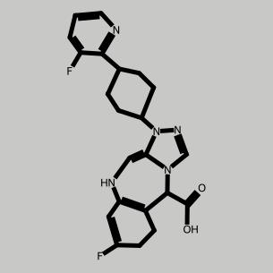 O=C(O)C1C2=C(C=C(F)CC2)NC=C2N1C=NN2C1CCC(c2ncccc2F)CC1